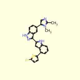 Cc1ncc(-c2ccc3[nH]nc(-c4cc5c(-c6ccc(F)s6)cccc5[nH]4)c3c2)n1C